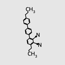 CCCc1ccc(-c2ccc(-c3ccc(CCC)c(C#N)c3C#N)cc2)cc1